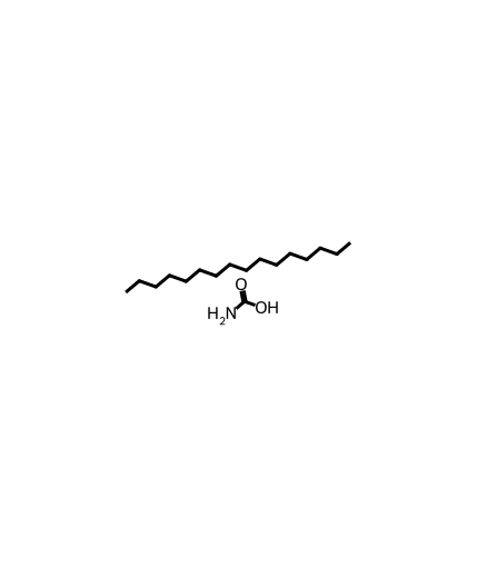 CCCCCCCCCCCCCCCC.NC(=O)O